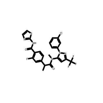 CC(C(=O)N(C)c1cc(C(F)(F)F)nn1-c1cccc(Cl)c1)c1ccc(C(=O)Nc2nccs2)c(F)c1